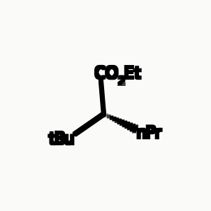 CCC[C@@H](C(=O)OCC)C(C)(C)C